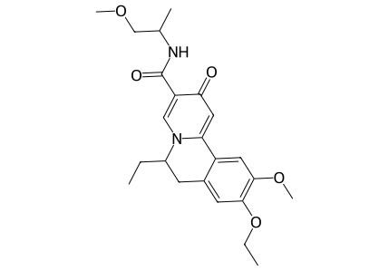 CCOc1cc2c(cc1OC)-c1cc(=O)c(C(=O)NC(C)COC)cn1C(CC)C2